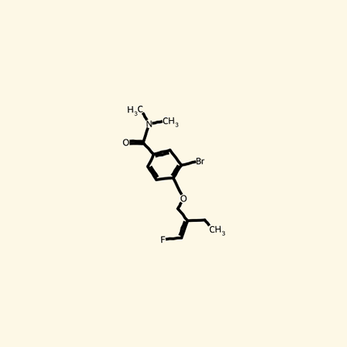 CC/C(=C/F)COc1ccc(C(=O)N(C)C)cc1Br